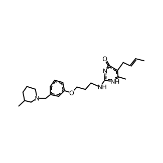 CC=CCc1c(C)[nH]c(NCCCOc2cccc(CN3CCCC(C)C3)c2)nc1=O